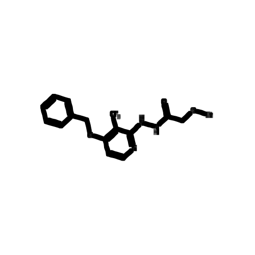 CCOCC(=O)NNc1nccc(OCc2ccccc2)c1C(F)(F)F